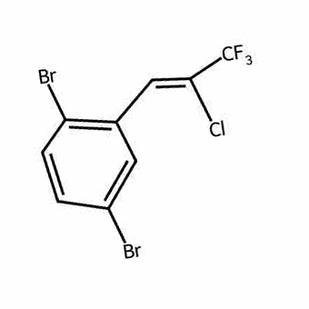 FC(F)(F)C(Cl)=Cc1cc(Br)ccc1Br